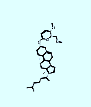 COC[C@H]1OC(O[C@H]2CC[C@@]3(C)C(=CCC4C3CC[C@@]3(C)C4CC[C@@H]3C(C)CCCC(C)C)C2)C=C[C@@H]1OC